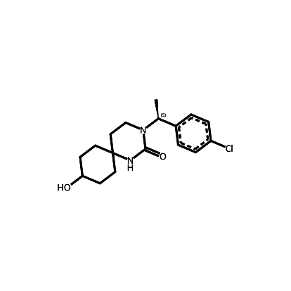 C[C@@H](c1ccc(Cl)cc1)N1CCC2(CCC(O)CC2)NC1=O